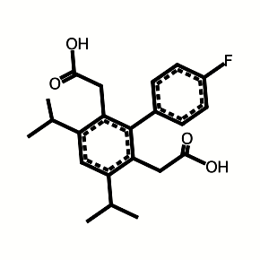 CC(C)c1cc(C(C)C)c(CC(=O)O)c(-c2ccc(F)cc2)c1CC(=O)O